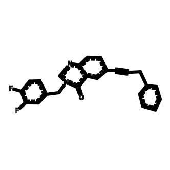 O=c1c2cc(C#CCc3ccccc3)ccc2ncn1Cc1ccc(F)c(F)c1